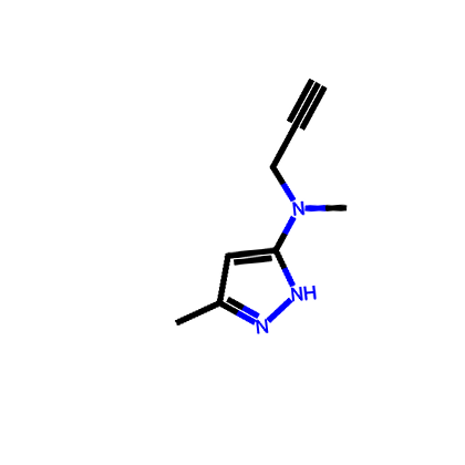 C#CCN(C)c1cc(C)n[nH]1